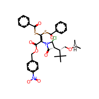 C[SiH](C)OC[C@@H]([C@@H]1C(=O)N(C(C(=O)OCc2ccc([N+](=O)[O-])cc2)=C(SC(=O)c2ccccc2)SC(=O)c2ccccc2)[C@H]1Cl)C(C)(C)C